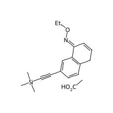 CC(=O)O.CCON=C1C=CCc2ccc(C#C[Si](C)(C)C)cc21